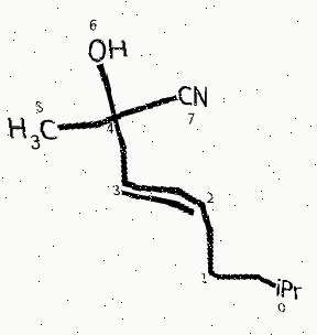 CC(C)CC=CC(C)(O)C#N